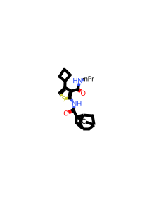 CCCNC(=O)c1c(C2CCC2)csc1NC(=O)C12CC3CC(CC1C3)C2